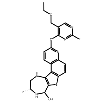 CCOCc1cnc(F)nc1Oc1ccc2c(ccc3sc4c(c32)NC[C@@H](C)NC4O)n1